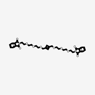 O=C1C2C3C=CC(O3)C2C(=O)N1CCOCCOCCOCC12CC(COCCOCCOCCN3C(=O)C4C5C=CC(O5)C4C3=O)(C1)C2